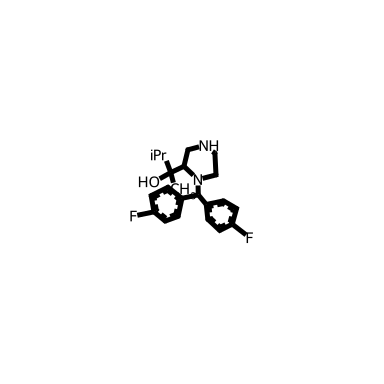 CC(C)C(C)(O)C1CNCCN1C(c1ccc(F)cc1)c1ccc(F)cc1